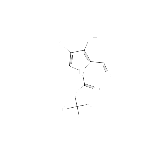 Cc1cn(C(=O)OC(C)(C)C)c(C=O)c1C